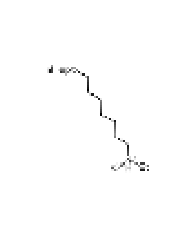 CCCCCCCCCCCCCC[NH+]([O-])CC